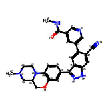 CNC(=O)c1cncc(-c2cc3c(-c4ccc5c(c4)OCC4CN(C)CCN54)n[nH]c3cc2C#N)c1